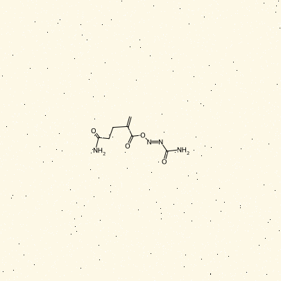 C=C(CCC(N)=O)C(=O)ON=NC(N)=O